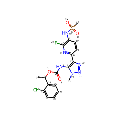 C[C@@H](OC(=O)Nc1c(-c2ccc(NS(C)(=O)=O)c(F)n2)nnn1C)c1ccccc1Cl